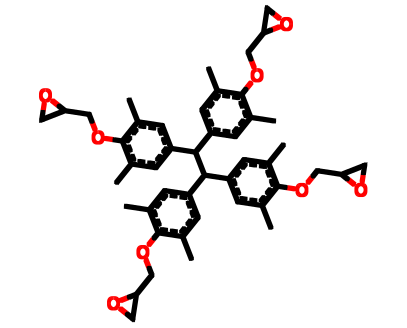 Cc1cc(C(c2cc(C)c(OCC3CO3)c(C)c2)C(c2cc(C)c(OCC3CO3)c(C)c2)c2cc(C)c(OCC3CO3)c(C)c2)cc(C)c1OCC1CO1